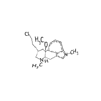 CO[C@]12CC(CCCl)CN(C)[C@@H]1Cc1cn(C)c3cccc2c13